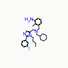 CCCCn1c(CN(Cc2cccc(N)c2C)CC2CCCCC2)cnc1-c1cccc(F)c1